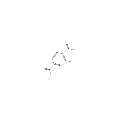 CC(C)(C)OC(=O)c1ccc(C(N)=S)c(N)c1